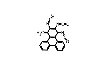 C=C1C(N=C=O)=C(N=C=O)C(N=C=O)c2c1c1ccccc1c1ccccc21